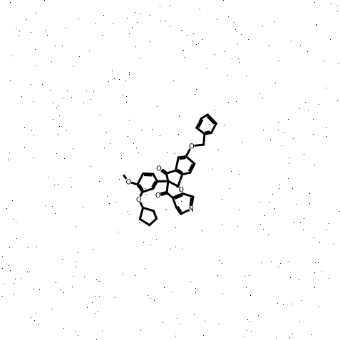 COc1ccc(C2(C(=O)c3ccncc3)C(=O)c3ccc(OCc4ccccc4)cc3C2=O)cc1OC1CCCC1